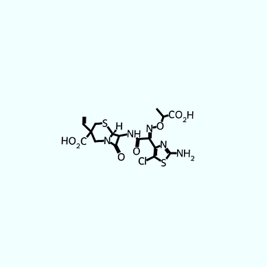 C=CC1(C(=O)O)CS[C@@H]2C(NC(=O)C(=NOC(C)C(=O)O)c3nc(N)sc3Cl)C(=O)N2C1